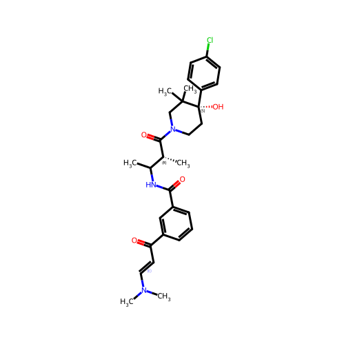 CC(NC(=O)c1cccc(C(=O)/C=C/N(C)C)c1)[C@@H](C)C(=O)N1CC[C@](O)(c2ccc(Cl)cc2)C(C)(C)C1